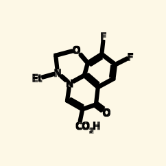 CCN1COc2c(F)c(F)cc3c(=O)c(C(=O)O)cn1c23